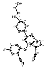 N#Cc1cc(F)ccc1Sc1cc(-c2ccc(NCCO)nc2)cn2ncc(C#N)c12